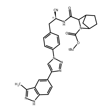 Cc1n[nH]c2ccc(-c3cn(-c4ccc(C[C@@H](C#N)NC(=O)C5C6CCC(C6)N5C(=O)OC(C)(C)C)cc4)nn3)cc12